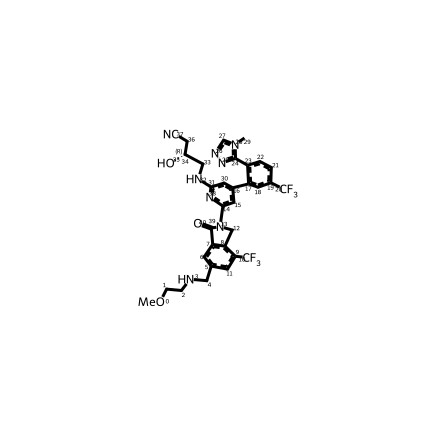 COCCNCc1cc2c(c(C(F)(F)F)c1)CN(c1cc(-c3cc(C(F)(F)F)ccc3-c3nncn3C)cc(NC[C@H](O)CC#N)n1)C2=O